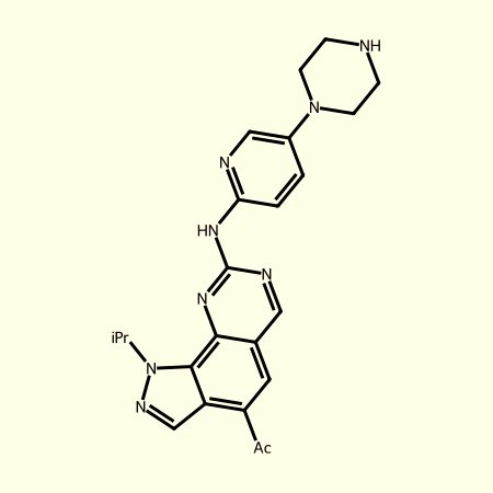 CC(=O)c1cc2cnc(Nc3ccc(N4CCNCC4)cn3)nc2c2c1cnn2C(C)C